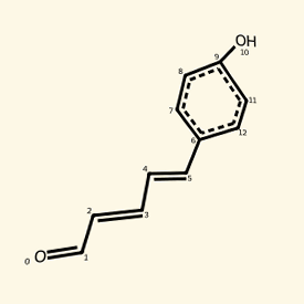 O=C/C=C/C=C/c1ccc(O)cc1